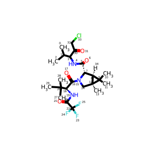 CC(C)C(NC(=O)[C@@H]1[C@H]2C(C)(C)[C@@]2(C)CN1C(=O)[C@@H](NC(=O)C(F)(F)F)C(C)(C)C)C(=O)CCl